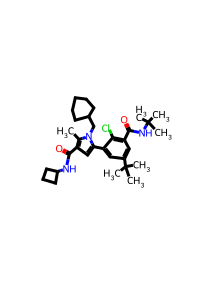 Cc1c(C(=O)NC2CCC2)cc(-c2cc(C(C)(C)C)cc(C(=O)NC(C)(C)C)c2Cl)n1CC1CCCCC1